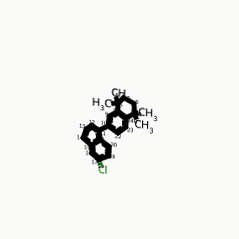 CC1(C)CCC(C)(C)c2cc(-c3cccc4cc(Cl)ccc34)ccc21